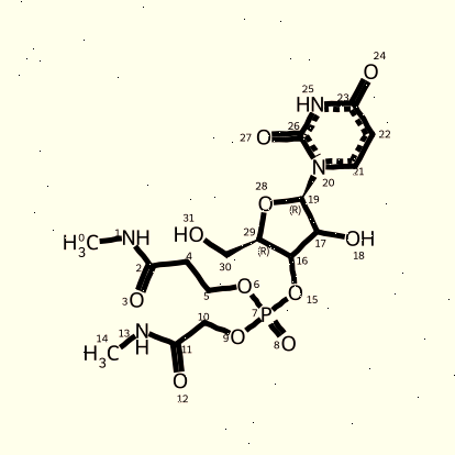 CNC(=O)CCOP(=O)(OCC(=O)NC)OC1C(O)[C@H](n2ccc(=O)[nH]c2=O)O[C@@H]1CO